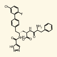 N[C@@H](Cc1ccccc1)C(=O)N[C@H](C[C@@H](Cc1ccc(-c2cc(Cl)ccc2F)cc1)NC(=O)c1cnn[nH]1)C(=O)O